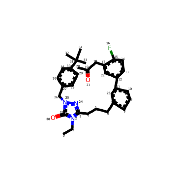 CCn1c(CCCc2cccc(-c3ccc(F)c(CC(C)=O)c3)c2)nn(Cc2ccc(C(C)(C)C)cc2)c1=O